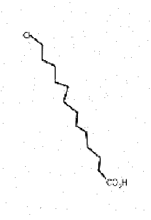 O=C(O)CCCCCCCCCCCCCl